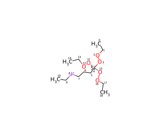 CCOO[Si](CCC[I+]CC)(OOCC)OOCC